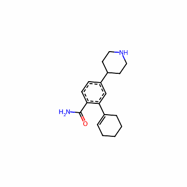 NC(=O)c1ccc(C2CCNCC2)cc1C1=CCCCC1